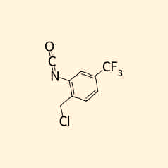 O=C=Nc1cc(C(F)(F)F)ccc1CCl